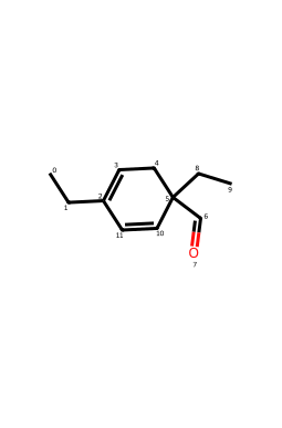 CCC1=CCC(C=O)(CC)C=C1